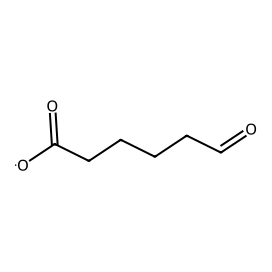 [O]C(=O)CCCCC=O